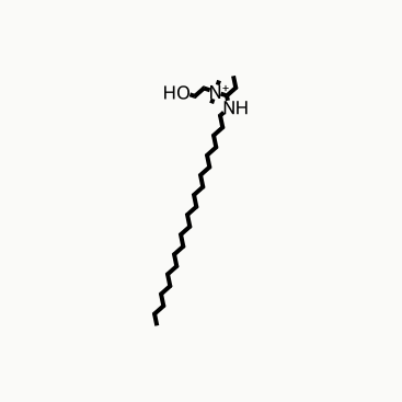 CCCCCCCCCCCCCCCCCCCCCCNC(CC)[N+](C)(C)CCO